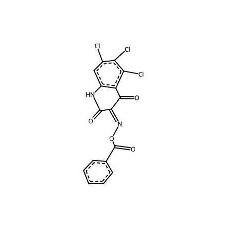 O=C1Nc2cc(Cl)c(Cl)c(Cl)c2C(=O)C1=NOC(=O)c1ccccc1